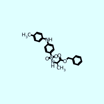 Cc1ccc(Nc2ccc(S(=O)(=O)N[C@H](C)C(=O)OCc3ccccc3)cc2)cc1